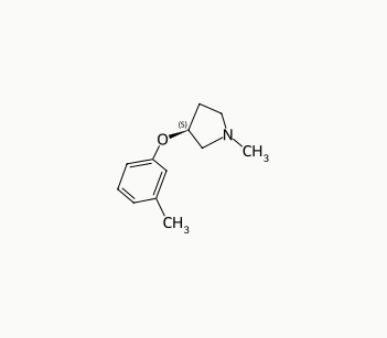 Cc1cccc(O[C@H]2CCN(C)C2)c1